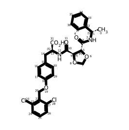 C[C@H](NC(=O)[C@@H]1OCO[C@H]1C(=O)N[C@@H](Cc1ccc(OCc2c(Cl)cccc2Cl)cc1)C(=O)O)c1ccccc1